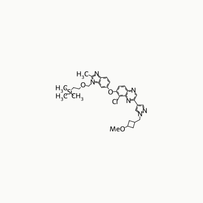 COC1CC(Cn2cc(-c3cnc4ccc(Oc5ccc6nc(C)n(COCC[Si](C)(C)C)c6c5)c(Cl)c4n3)cn2)C1